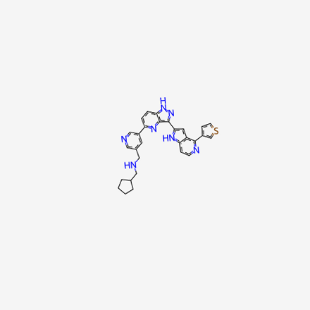 c1cc2[nH]c(-c3n[nH]c4ccc(-c5cncc(CNCC6CCCC6)c5)nc34)cc2c(-c2ccsc2)n1